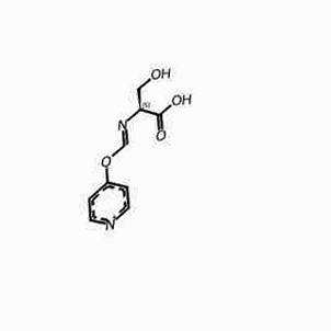 O=C(O)[C@H](CO)N=COc1ccncc1